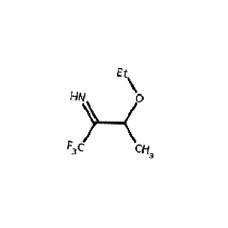 CCOC(C)C(=N)C(F)(F)F